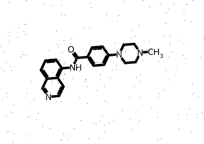 CN1CCN(c2ccc(C(=O)Nc3cccc4cnccc34)cc2)CC1